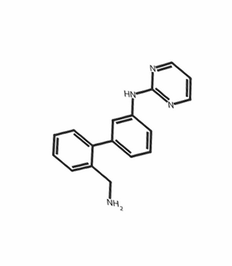 NCc1ccccc1-c1cccc(Nc2ncccn2)c1